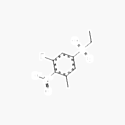 CCS(=O)(=O)c1cc(C)c([N+](=O)[O-])c(F)c1